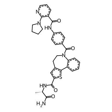 C[C@H](NC(=O)c1cc2c(s1)-c1ccccc1N(C(=O)c1ccc(NC(=O)c3cccnc3N3CCCC3)cc1)CC2)C(N)=O